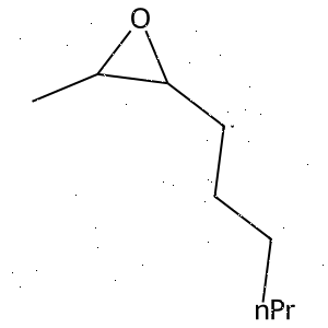 CCCCC[CH]C1OC1C